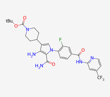 CC(C)(C)OC(=O)N1CCC(c2cn(-c3ccc(C(=O)Nc4cc(C(F)(F)F)ccn4)cc3F)c(C(N)=O)c2N)CC1